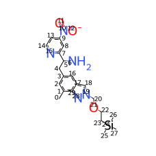 Cc1cc(CC(N)c2cc([N+](=O)[O-])ccn2)cc2cn(COCC[Si](C)(C)C)nc12